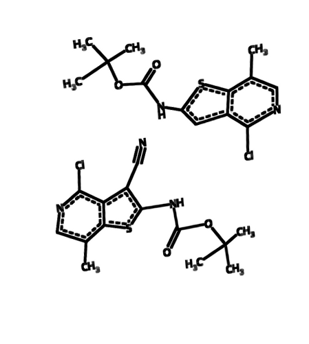 Cc1cnc(Cl)c2c(C#N)c(NC(=O)OC(C)(C)C)sc12.Cc1cnc(Cl)c2cc(NC(=O)OC(C)(C)C)sc12